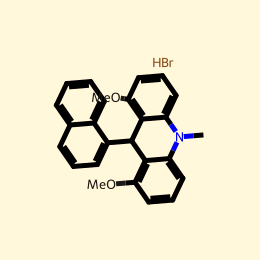 Br.COc1cccc2c1C(c1cccc3ccccc13)c1c(OC)cccc1N2C